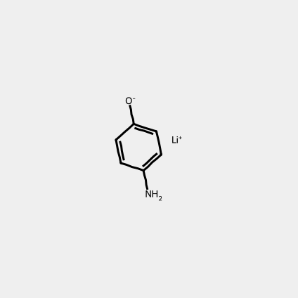 Nc1ccc([O-])cc1.[Li+]